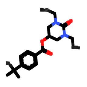 CCC(C)(C)c1ccc(C(=O)OC2CN(COC)C(=O)N(COC)C2)cc1